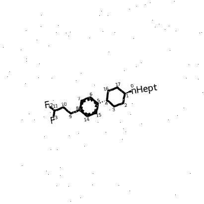 CCCCCCC[C@H]1CC[C@H](c2ccc(CCC(F)F)cc2)CC1